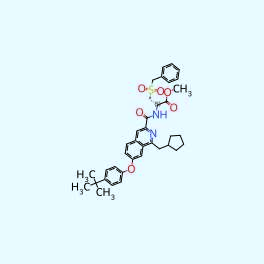 COC(=O)[C@@H](CS(=O)(=O)Cc1ccccc1)NC(=O)c1cc2ccc(Oc3ccc(C(C)(C)C)cc3)cc2c(CC2CCCC2)n1